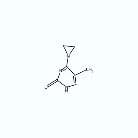 Cc1c[nH]c(=O)nc1N1CC1